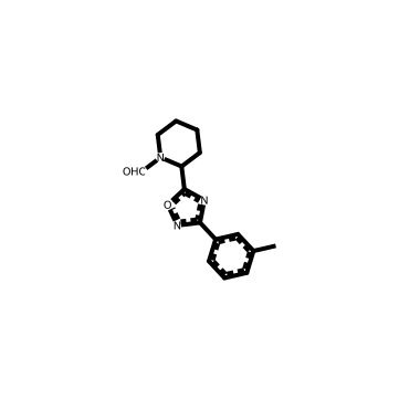 Cc1cccc(-c2noc(C3CCCCN3C=O)n2)c1